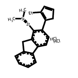 CCC1=C(c2ccc3c([c]2[Zr]=[Si](C)C)Cc2ccccc2-3)CC=C1.Cl.Cl